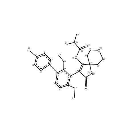 CCc1ccc(-c2ccc(Cl)cc2)c(CC)c1C1=C(OC(=O)C(C)C)C2(CCOCC2)NC1=O